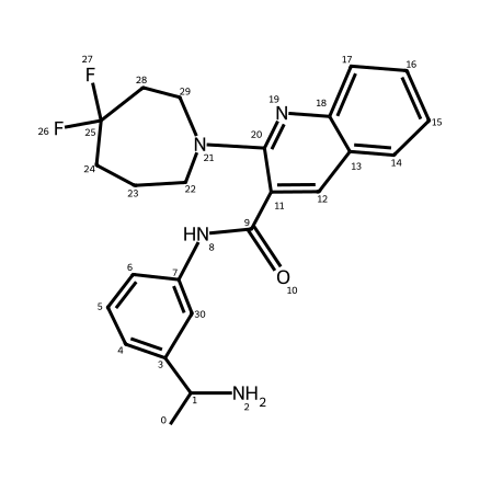 CC(N)c1cccc(NC(=O)c2cc3ccccc3nc2N2CCCC(F)(F)CC2)c1